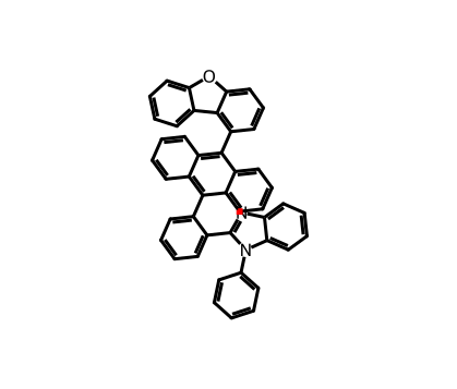 c1ccc(-n2c(-c3ccccc3-c3c4ccccc4c(-c4cccc5oc6ccccc6c45)c4ccccc34)nc3ccccc32)cc1